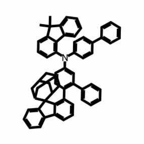 CC1(C)c2ccccc2-c2c(N(c3ccc(-c4ccccc4)cc3)c3ccc(-c4cccc5c4C4(c6ccccc6-5)C5CC6CC(C5)CC4C6)c(-c4ccccc4)c3)cccc21